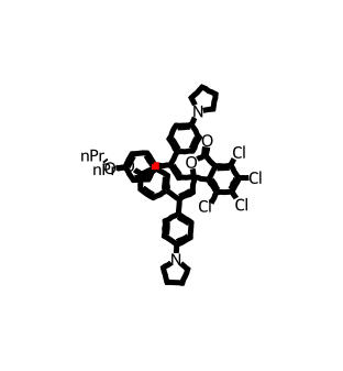 CCCOc1ccc(C(=CC2(C=C(c3ccc(OCCC)cc3)c3ccc(N4CCCC4)cc3)OC(=O)c3c(Cl)c(Cl)c(Cl)c(Cl)c32)c2ccc(N3CCCC3)cc2)cc1